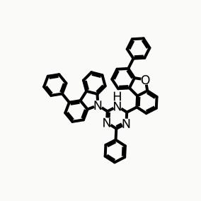 c1ccc(C2=NC(c3cccc4oc5c(-c6ccccc6)cccc5c34)NC(n3c4ccccc4c4c(-c5ccccc5)cccc43)=N2)cc1